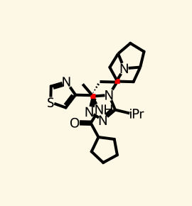 Cc1nnc(C(C)C)n1C1CC2CCC(C1)N2CC[C@H](NC(=O)C1CCCC1)c1cscn1